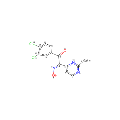 CSc1nccc(/C(=N\O)C(=O)c2ccc(Cl)c(Cl)c2)n1